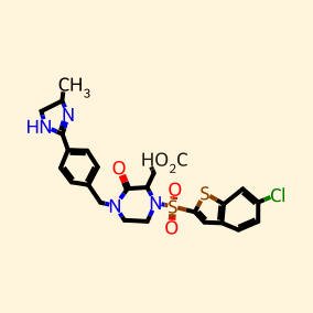 CC1CNC(c2ccc(CN3CCN(S(=O)(=O)c4cc5ccc(Cl)cc5s4)C(CC(=O)O)C3=O)cc2)=N1